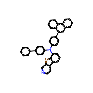 c1ccc(-c2ccc(N(c3ccc(-c4cc5ccccc5c5ccccc45)cc3)c3cccc4c3sc3cnccc34)cc2)cc1